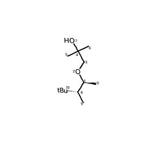 C[C@H](OCC(C)(C)O)[C@H](C)C(C)(C)C